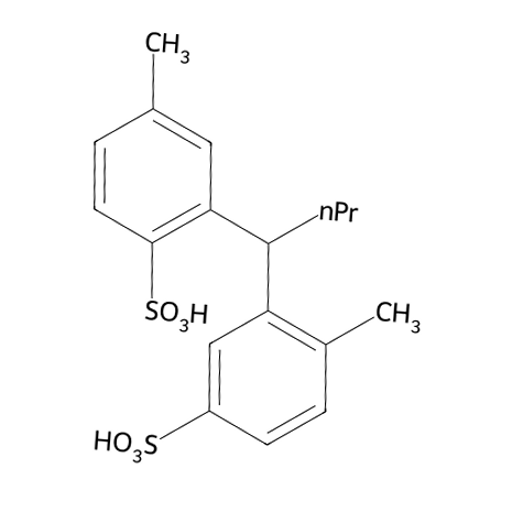 CCCC(c1cc(S(=O)(=O)O)ccc1C)c1cc(C)ccc1S(=O)(=O)O